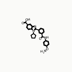 NOc1ccc(NC(=O)c2cccc(-c3nc4cc(C(=O)O)ccc4n3C3CCCC3)c2)cc1